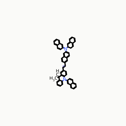 CC1(C)c2ccccc2N(c2ccc3ccccc3c2)c2ccc(/C=C/c3ccc4cc(N(c5ccc6ccccc6c5)C5C=c6ccccc6=CC5)ccc4c3)cc21